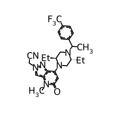 CC[C@H]1CN(C(C)c2ccc(C(F)(F)F)cc2)[C@H](CC)CN1c1cc(=O)n(C)c2cn(CC#N)nc12